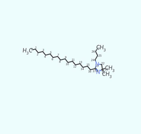 CCCCCCCCCCCCCCCCCC1=NC(C)(C)CN1CCCC